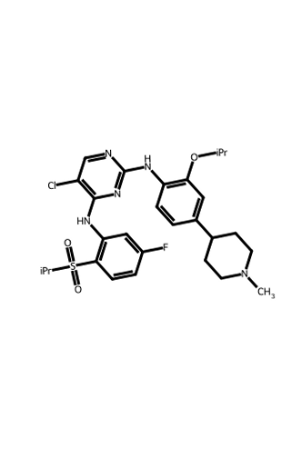 CC(C)Oc1cc(C2CCN(C)CC2)ccc1Nc1ncc(Cl)c(Nc2cc(F)ccc2S(=O)(=O)C(C)C)n1